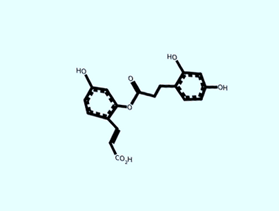 O=C(O)/C=C/c1ccc(O)cc1OC(=O)CCc1ccc(O)cc1O